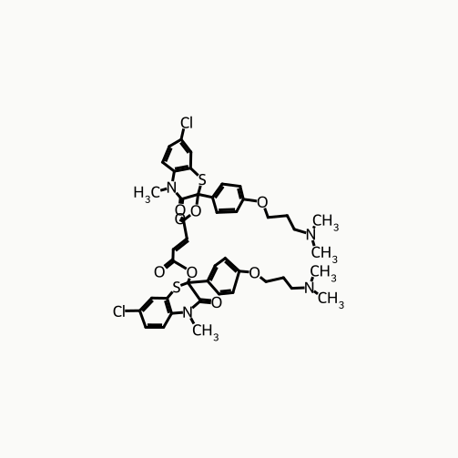 CN(C)CCCOc1ccc(C2(OC(=O)/C=C/C(=O)OC3(c4ccc(OCCCN(C)C)cc4)Sc4cc(Cl)ccc4N(C)C3=O)Sc3cc(Cl)ccc3N(C)C2=O)cc1